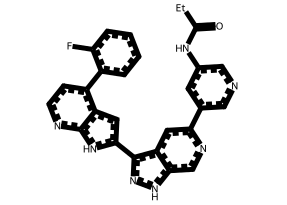 CCC(=O)Nc1cncc(-c2cc3c(-c4cc5c(-c6ccccc6F)ccnc5[nH]4)n[nH]c3cn2)c1